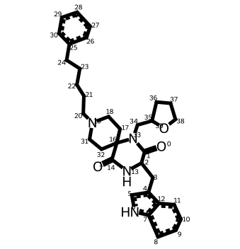 O=C1C(Cc2c[nH]c3ccccc23)NC(=O)C2(CCN(CCCCCc3ccccc3)CC2)N1CC1CCCO1